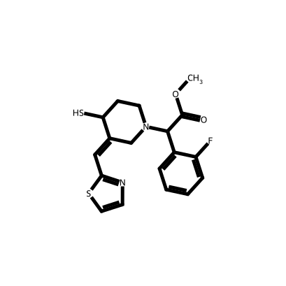 COC(=O)C(c1ccccc1F)N1CCC(S)/C(=C/c2nccs2)C1